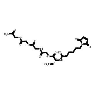 NC(=O)CNC(=O)CNC(=O)CNC(=O)CNC(=O)[C@@H](CC(=O)O)NC(O)CCCCCN1C(=O)C=CC1=O